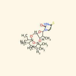 CC(C)[Si]1(C(C)C)OC[C@H]2O[C@@H](n3ccc(=S)[nH]c3=O)[C@@H](C)[C@H]2O[Si](C(C)C)(C(C)C)O1